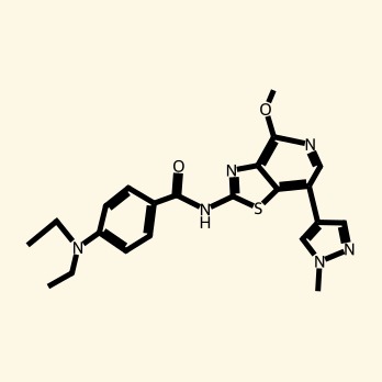 CCN(CC)c1ccc(C(=O)Nc2nc3c(OC)ncc(-c4cnn(C)c4)c3s2)cc1